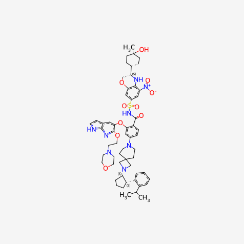 CC(C)c1ccccc1[C@@H]1CCC[C@@H]1N1CC2(CCN(c3ccc(C(=O)NS(=O)(=O)c4cc5c(c([N+](=O)[O-])c4)N[C@@H]([C@H]4CC[C@](C)(O)CC4)CO5)c(Oc4cc5cc[nH]c5nc4OCCN4CCOCC4)c3)CC2)C1